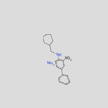 N.O=[N+]([O-])c1cc(-c2ccccc2)ccc1NCC1CCCCC1